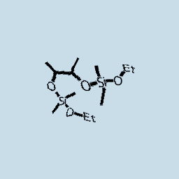 CCO[Si](C)(C)OC(C)C(C)O[Si](C)(C)OCC